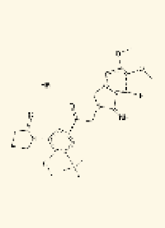 Br.COc1cc2c(c(F)c1OC)C(=N)N(CC(=O)c1cc(N3CCCC3=O)c(OC)c(C(C)(C)C)c1)C2